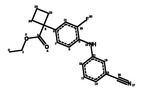 CCOC(=O)C1(c2ccc(Nc3cccc(C#N)c3)c(F)c2)CCC1